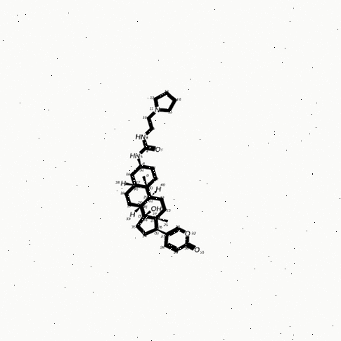 C[C@]12CC[C@H](NC(=O)NCCN3CCCC3)C[C@H]1CC[C@@H]1[C@@H]2CC[C@]2(C)[C@@H](c3ccc(=O)oc3)CC[C@]12O